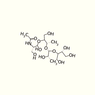 CC(=O)N[C@@H](CO)C(O)OC(CO)[C@H](C)O[C@H](OC(CO)[C@H](O)CO)[C@H](C)O